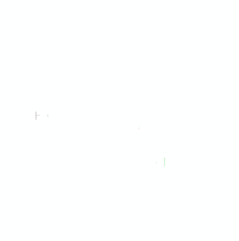 C=C1C=C(c2ccc(C(F)(F)F)cc2)Oc2c(Cl)cccc21